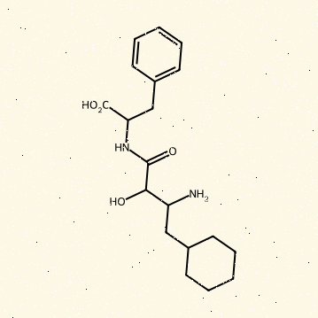 NC(CC1CCCCC1)C(O)C(=O)NC(Cc1ccccc1)C(=O)O